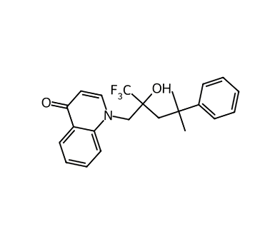 CC(C)(CC(O)(Cn1ccc(=O)c2ccccc21)C(F)(F)F)c1ccccc1